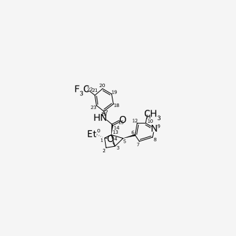 CC[C@@]12CC3(O1)[C@H](c1ccnc(C)c1)[C@]32C(=O)Nc1cccc(C(F)(F)F)c1